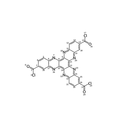 O=C(Cl)c1ccc2nc3c4nc5ccc(C(=O)Cl)cc5nc4c4nc5cc(C(=O)Cl)ccc5nc4c3nc2c1